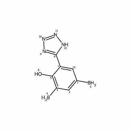 Bc1cc(B)c(O)c(-c2nnn[nH]2)c1